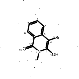 Cn1c(O)c(Br)c2ccccc2c1=O